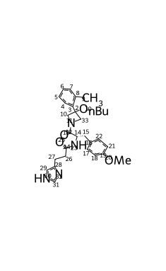 CCCCOC1(c2ccccc2C)CN(C(=O)[C@H](Cc2ccc(OC)cc2)NC(=O)CCc2c[nH]cn2)C1